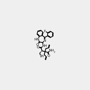 C=CCC(CC=C)(C(N)=O)[C@@H](CC(C)C)C(=O)NC1N=C(c2ccccc2F)c2ccccc2NC1=O